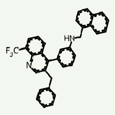 FC(F)(F)c1cccc2c(-c3cccc(NCc4cccc5ccccc45)c3)c(Cc3ccccc3)cnc12